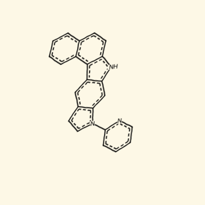 c1ccc(-n2ccc3cc4c(cc32)[nH]c2ccc3ccccc3c24)nc1